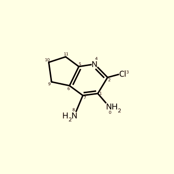 Nc1c(Cl)nc2c(c1N)CCC2